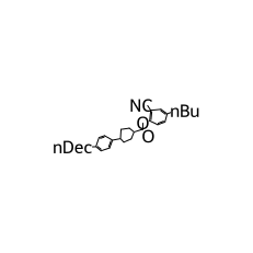 CCCCCCCCCCc1ccc(C2CCC(C(=O)Oc3ccc(CCCC)cc3C#N)CC2)cc1